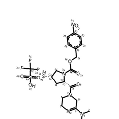 CN(C)C1=NCCN(C(=O)[C@@H]2C[C@H](S)CN2C(=O)OCc2ccc([N+](=O)[O-])cc2)C1.O=S(=O)(O)C(F)(F)F